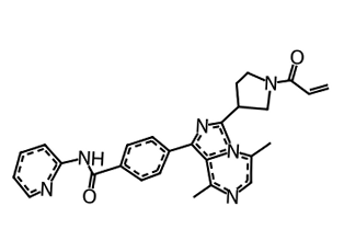 C=CC(=O)N1CCC(c2nc(-c3ccc(C(=O)Nc4ccccn4)cc3)c3c(C)ncc(C)n23)C1